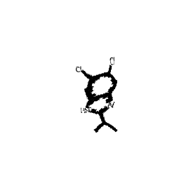 CC(C)c1nc2cc(Cl)c(Cl)cc2[nH]1